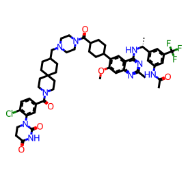 COc1cc2nc(C)nc(N[C@H](C)c3cc(NC(C)=O)cc(C(F)(F)F)c3)c2cc1C1CCC(C(=O)N2CCN(CC3CCC4(CC3)CCN(C(=O)c3ccc(Cl)c(N5CCC(=O)NC5=O)c3)CC4)CC2)CC1